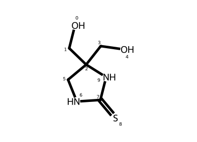 OCC1(CO)CNC(=S)N1